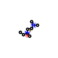 c1ccc(-c2cccc(-c3nc(-c4cccc5c4sc4ccc(-c6nc(-c7ccccc7)nc(-c7ccccc7)n6)cc45)nc4c3oc3ccccc34)c2)cc1